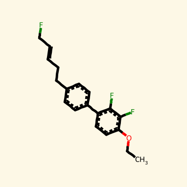 CCOc1ccc(-c2ccc(CC/C=C/CF)cc2)c(F)c1F